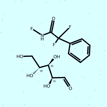 O=C(NF)C(F)(F)c1ccccc1.O=C[C@@H](O)[C@H](O)[C@H](O)CO